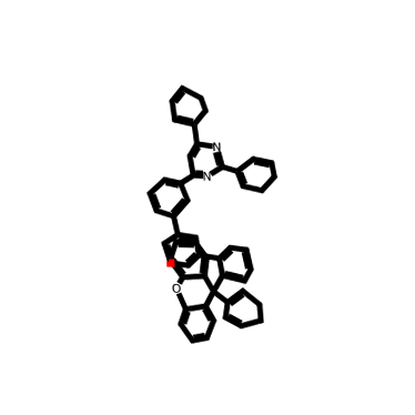 C1=CCCC(c2cc(-c3cccc(-c4cccc(-c5ccccc5C5(C6=CCCC=C6)c6ccccc6Oc6ccccc65)c4)c3)nc(C3=CCCC=C3)n2)=C1